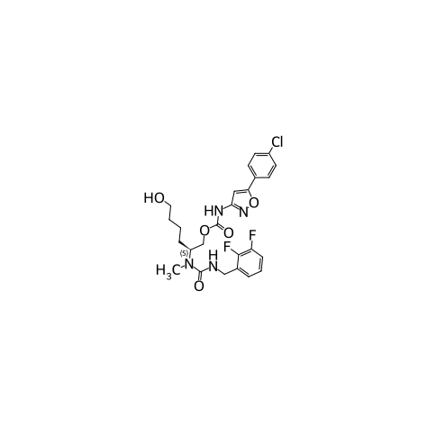 CN(C(=O)NCc1cccc(F)c1F)[C@@H](CCCCO)COC(=O)Nc1cc(-c2ccc(Cl)cc2)on1